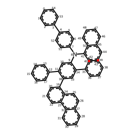 c1ccc(-c2ccc(N(c3cc(-c4ccccc4)c(-c4cccc5c4ccc4ccccc45)cc3-c3ccccc3)c3cccc4ccccc34)cc2)cc1